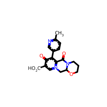 Cc1ccc(-c2c3n(cc(C(=O)O)c2=O)CC2OCCCN2C3=O)cn1